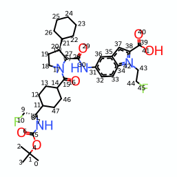 CC(C)(C)OC(=O)N[C@H](CF)C1CCC(C(=O)N2CC[C@@H](C3CCCCC3)[C@H]2C(=O)Nc2ccc3c(c2)cc(C(=O)O)n3CCF)CC1